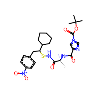 C[C@@H](NC(=O)c1cn(C(=O)OC(C)(C)C)cn1)C(=O)NSC(Cc1ccc([N+](=O)[O-])cc1)C1CCCCC1